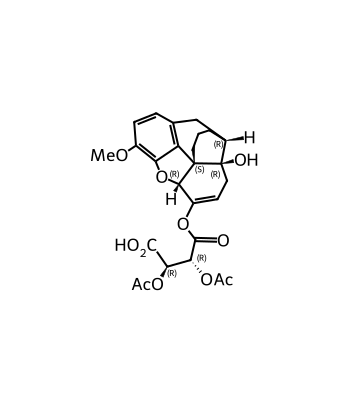 COc1ccc2c3c1O[C@H]1C(OC(=O)[C@H](OC(C)=O)[C@@H](OC(C)=O)C(=O)O)=CC[C@@]4(O)[C@H](CCC[C@]314)C2